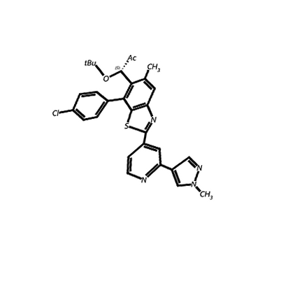 CC(=O)[C@@H](OC(C)(C)C)c1c(C)cc2nc(-c3ccnc(-c4cnn(C)c4)c3)sc2c1-c1ccc(Cl)cc1